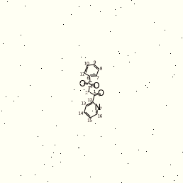 O=C(CS(=O)(=O)c1ccccc1)c1ccccn1